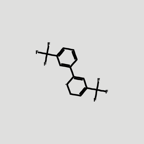 FC(F)(F)C1=CC[CH]C(c2cccc(C(F)(F)F)c2)=C1